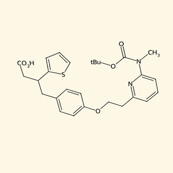 CN(C(=O)OC(C)(C)C)c1cccc(CCOc2ccc(CC(CC(=O)O)c3cccs3)cc2)n1